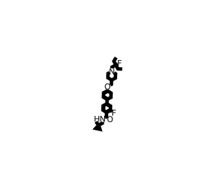 CCC(F)(CC)CN1CCC(COC2=CC=C(c3ccc(C(=O)NCC4(C)CC4)c(F)c3)CC2)CC1